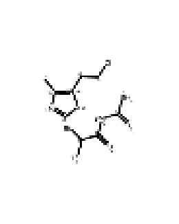 CC(C)C(Br)C(=O)NC(N)=O.Cc1ncsc1CCCl